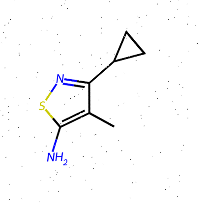 Cc1c(C2CC2)nsc1N